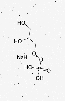 O=P(O)(O)OOCC(O)CO.[NaH]